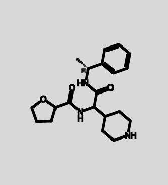 C[C@@H](NC(=O)C(NC(=O)C1CCCO1)C1CCNCC1)c1ccccc1